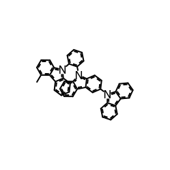 Cc1cccc2c1c1ccccc1n2-c1ccccc1-n1c2ccccc2c2cc(-n3c4ccccc4c4ccccc43)ccc21